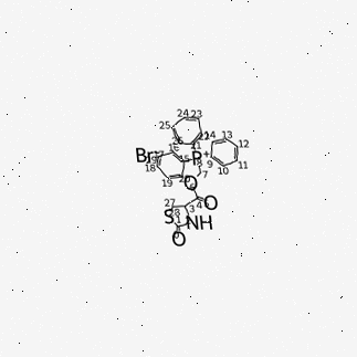 O=C1NC(C(=O)OC[P+](c2ccccc2)(c2ccccc2)c2ccccc2)CS1.[Br-]